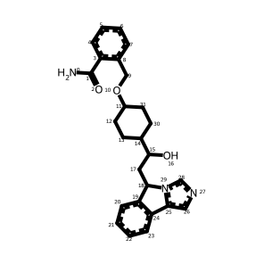 NC(=O)c1ccccc1COC1CCC(C(O)CC2c3ccccc3-c3cncn32)CC1